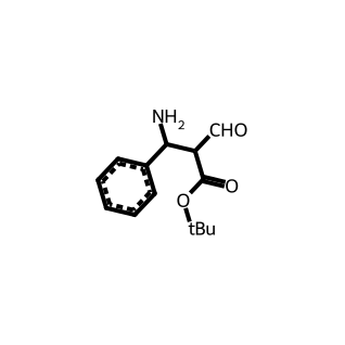 CC(C)(C)OC(=O)C(C=O)C(N)c1ccccc1